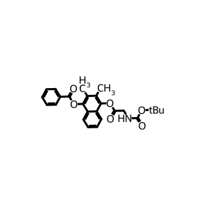 Cc1c(C)c(OC(=O)c2ccccc2)c2ccccc2c1OC(=O)CNC(=O)OC(C)(C)C